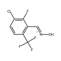 O/N=C/c1c(C(F)(F)F)ccc(Cl)c1F